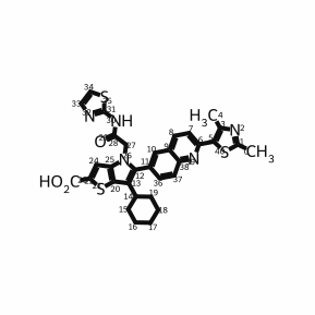 Cc1nc(C)c(-c2ccc3cc(-c4c(C5CCCCC5)c5sc(C(=O)O)cc5n4CC(=O)Nc4nccs4)ccc3n2)s1